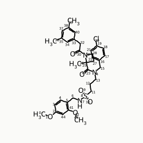 COc1ccc(CNS(=O)(=O)CCCN(Cc2ccc(Cl)cc2)C(=O)C2(C)CCN2C(=O)Cc2cc(C)cc(C)c2)c(OC)c1